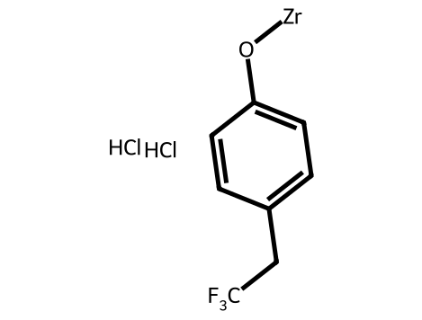 Cl.Cl.FC(F)(F)Cc1ccc([O][Zr])cc1